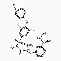 N=C(NO)c1cccc(C[C@@H](N)C(=O)N(O)S(=O)(=O)c2cc(F)c(Oc3ccc(F)cc3)c(F)c2)c1